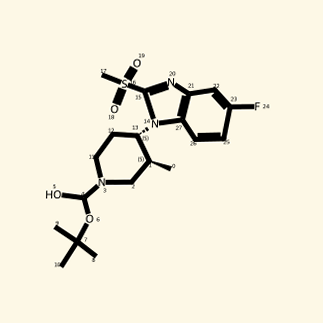 C[C@H]1CN(C(O)OC(C)(C)C)CC[C@@H]1n1c(S(C)(=O)=O)nc2cc(F)ccc21